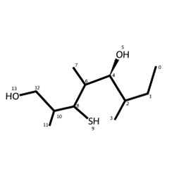 CCC(C)[C@H](O)C(C)C(S)C(C)CO